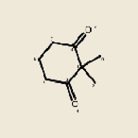 CC1(C)C(=O)CCCC1=O